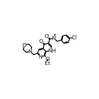 CCOc1nc(CN2CCOCC2)cc2c(=O)c(C(=O)N(C)Cc3ccc(Cl)cc3)c[nH]c12